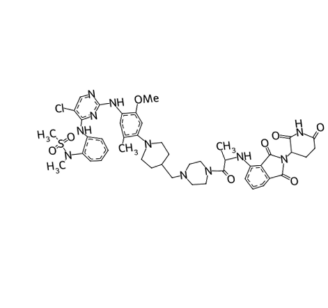 COc1cc(N2CCC(CN3CCN(C(=O)C(C)Nc4cccc5c4C(=O)N(C4CCC(=O)NC4=O)C5=O)CC3)CC2)c(C)cc1Nc1ncc(Cl)c(Nc2ccccc2N(C)S(C)(=O)=O)n1